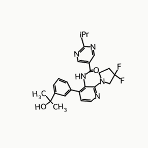 CC(C)c1ncc(C(=O)Nc2c(-c3cccc(C(C)(C)O)c3)ccnc2N2CCC(F)(F)C2)cn1